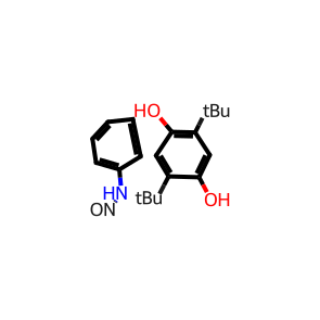 CC(C)(C)c1cc(O)c(C(C)(C)C)cc1O.O=NNc1ccccc1